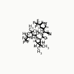 CC(C)(C)C(NC(=O)C(F)(F)F)C(=O)N1C[C@H]2[C@@H]([C@H]1C(=O)NC(C#N)c1cncc(C(F)(F)F)c1)C2(C)C